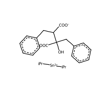 C[CH](C)[Sn+2][CH](C)C.O=C([O-])C(Cc1ccccc1)C(O)(Cc1ccccc1)C(=O)[O-]